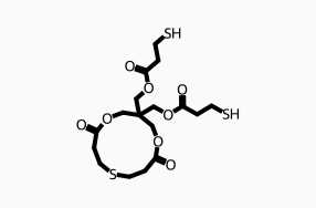 O=C(CCS)OCC1(COC(=O)CCS)COC(=O)CCSCCC(=O)OC1